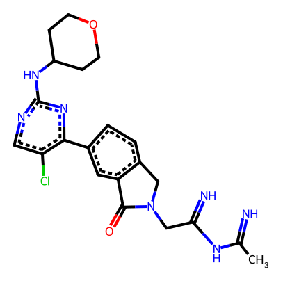 CC(=N)NC(=N)CN1Cc2ccc(-c3nc(NC4CCOCC4)ncc3Cl)cc2C1=O